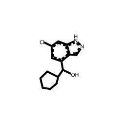 OC(c1cc(Cl)cc2[nH]ncc12)C1CCCCC1